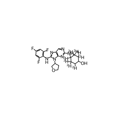 [2H]C1C(O)C([2H])([2H])C([2H])([2H])C([2H])(Nc2ncc3nc(Nc4c(F)cc(F)cc4F)n(C4CCOC4)c3n2)C1([2H])[2H]